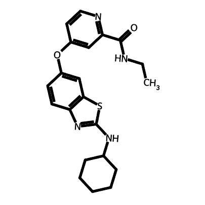 CCNC(=O)c1cc(Oc2ccc3nc(NC4CCCCC4)sc3c2)ccn1